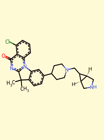 CC1(C)c2ccc(C3CCN(CC4[C@H]5CNC[C@@H]45)CC3)cc2-n2c1nc(=O)c1c(Cl)cccc12